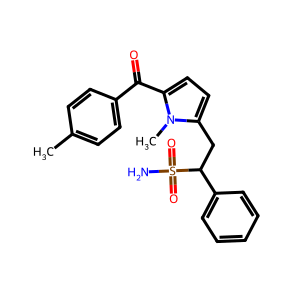 Cc1ccc(C(=O)c2ccc(CC(c3ccccc3)S(N)(=O)=O)n2C)cc1